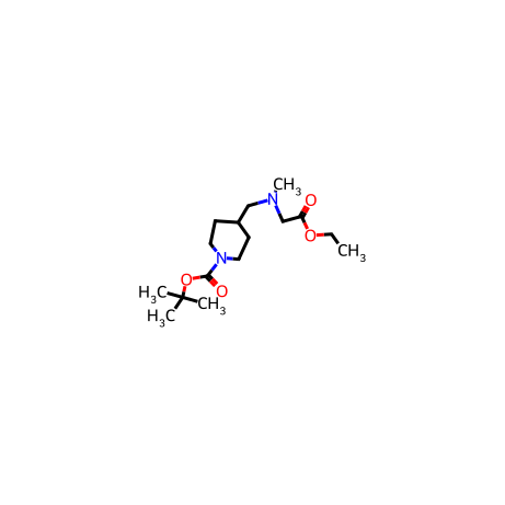 CCOC(=O)CN(C)CC1CCN(C(=O)OC(C)(C)C)CC1